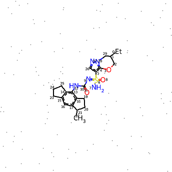 CCC1COc2c(S(N)(=O)=NC(=O)Nc3c4c(cc5c3CCC5C)CCC4)cnn2C1